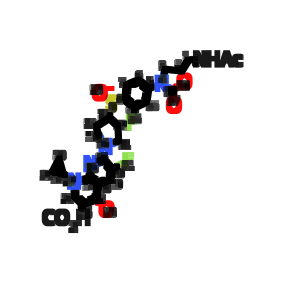 CC(=O)NCC1CN(c2ccc([S+]([O-])C3CCN(c4nc5c(cc4F)c(=O)c(C(=O)O)cn5C4CC4)CC3)c(F)c2)C(=O)O1